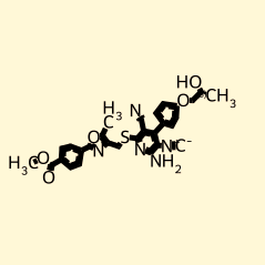 [C-]#[N+]c1c(N)nc(SCc2nc(-c3ccc(C(=O)OC)cc3)oc2C)c(C#N)c1-c1ccc(OC[C@H](C)O)cc1